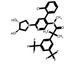 CN(C(=O)C(C)(C)c1cc(C(F)(F)F)cc(C(F)(F)F)c1)c1cnc(N2C[C@@H](O)[C@H](O)C2)cc1-c1ccccc1Cl